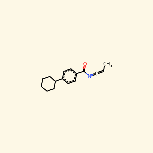 CC=C=NC(=O)c1ccc(C2CCCCC2)cc1